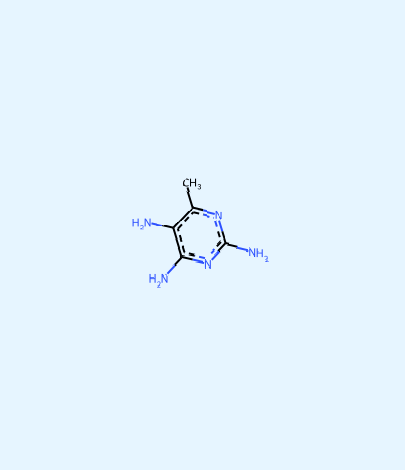 Cc1nc(N)nc(N)c1N